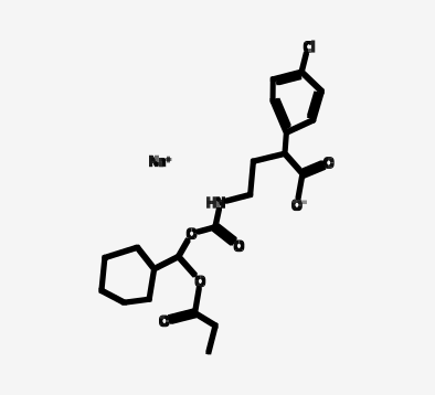 CCC(=O)OC(OC(=O)NCCC(C(=O)[O-])c1ccc(Cl)cc1)C1CCCCC1.[Na+]